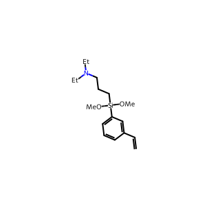 C=Cc1cccc([Si](CCCN(CC)CC)(OC)OC)c1